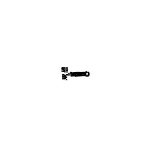 [B].[C]=O.[Si]